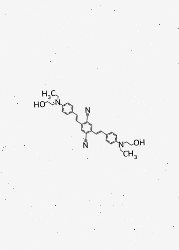 CCN(CCO)c1ccc(C=Cc2cc(C#N)c(C=Cc3ccc(N(CC)CCO)cc3)cc2C#N)cc1